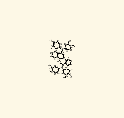 C=C(c1ccccc1-c1cc(N(c2ccc(C)c(C)c2)c2ccc(C)c(C)c2)c2ccccc2c1C)N(c1ccc(C)c(C)c1)c1ccc(C)c(C)c1